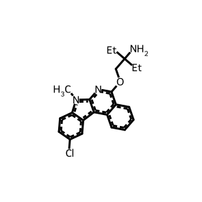 CCC(N)(CC)COc1nc2c(c3ccccc13)c1cc(Cl)ccc1n2C